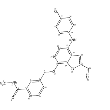 CNC(=O)c1cc(COc2nnc(Nc3ccc(Cl)cc3)c3cc(C=O)oc23)ccn1